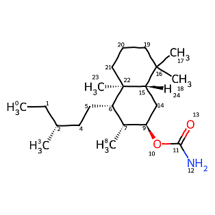 CC[C@@H](C)CC[C@H]1[C@@H](C)[C@H](OC(N)=O)C[C@H]2C(C)(C)CCC[C@]12C